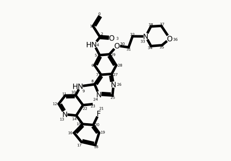 C=CC(=O)Nc1cc2c(NC3=CC=NC(c4ccccc4F)C3C)ncnc2cc1OCCN1CCOCC1